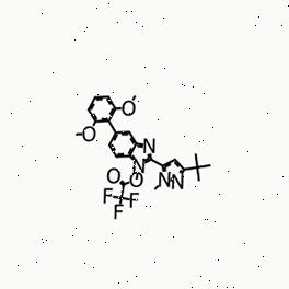 COc1cccc(OC)c1-c1ccc2c(c1)nc(-c1cc(C(C)(C)C)nn1C)n2OC(=O)C(F)(F)F